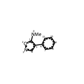 CNc1oncc1-c1ccccc1